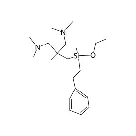 CCO[Si](C)(CCc1ccccc1)CC(C)(CN(C)C)CN(C)C